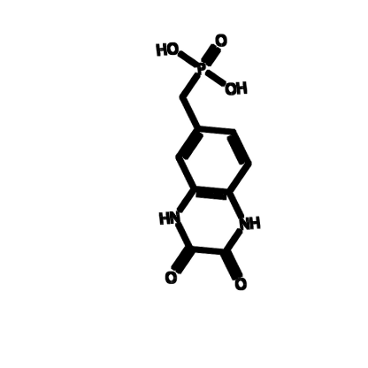 O=c1[nH]c2ccc(CP(=O)(O)O)cc2[nH]c1=O